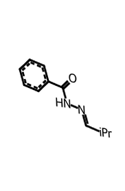 CC(C)/C=N/NC(=O)c1ccccc1